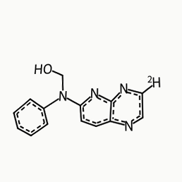 [2H]c1cnc2ccc(N(CO)c3ccccc3)nc2n1